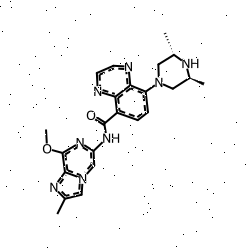 COc1nc(NC(=O)c2ccc(N3C[C@H](C)N[C@@H](C)C3)c3nccnc23)cn2cc(C)nc12